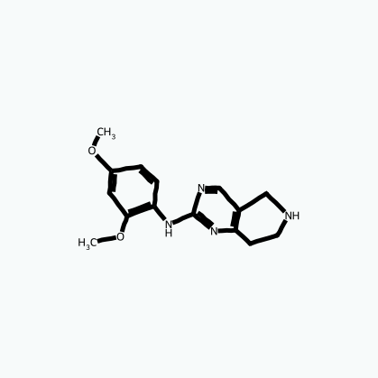 COc1ccc(Nc2ncc3c(n2)CCNC3)c(OC)c1